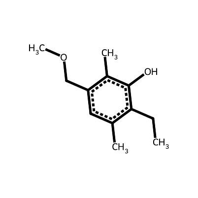 CCc1c(C)cc(COC)c(C)c1O